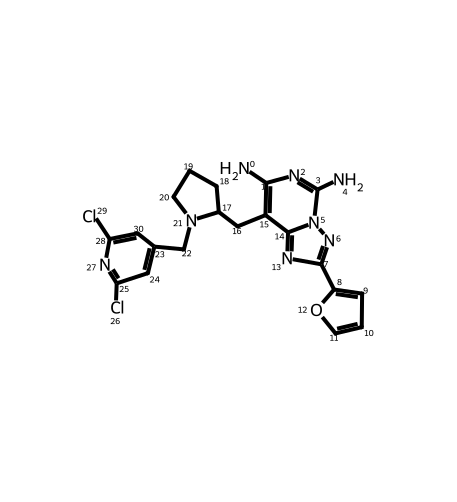 Nc1nc(N)n2nc(-c3ccco3)nc2c1CC1CCCN1Cc1cc(Cl)nc(Cl)c1